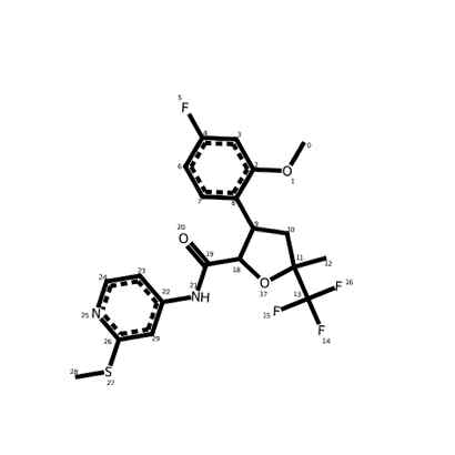 COc1cc(F)ccc1C1CC(C)(C(F)(F)F)OC1C(=O)Nc1ccnc(SC)c1